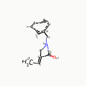 CC=C1CN(Cc2ccccc2)C1=O